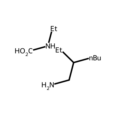 CCCCC(CC)CN.CCNC(=O)O